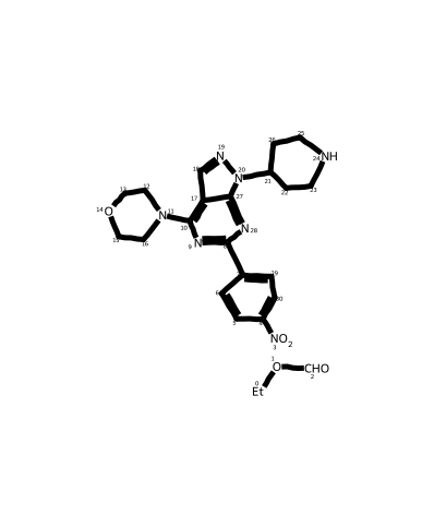 CCOC=O.O=[N+]([O-])c1ccc(-c2nc(N3CCOCC3)c3cnn(C4CCNCC4)c3n2)cc1